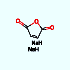 O=C1C=CC(=O)O1.[NaH].[NaH]